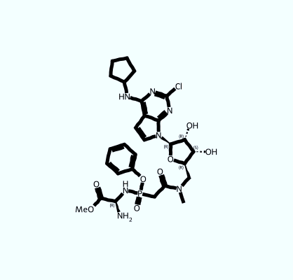 COC(=O)[C@H](N)NP(=O)(CC(=O)N(C)C[C@H]1O[C@@H](n2ccc3c(NC4CCCC4)nc(Cl)nc32)[C@H](O)[C@@H]1O)Oc1ccccc1